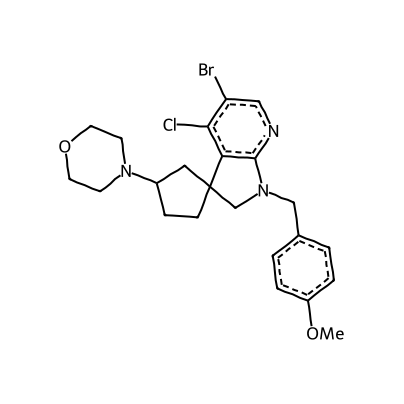 COc1ccc(CN2CC3(CCC(N4CCOCC4)C3)c3c2ncc(Br)c3Cl)cc1